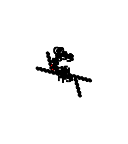 CCCCCCCCCCC(CCCCCCCC)Cc1cc(-c2c(F)c(F)c(-c3cc(CC(CCCCCCCC)CCCCCCCCCC)c(-c4ccc(-c5ccc(-c6cc(C(=O)OC)c(-c7ccc(-c8ccc(C)s8)s7)s6)s5)s4)s3)c3nsnc23)sc1C